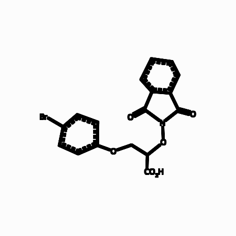 O=C(O)C(COc1ccc(Br)cc1)ON1C(=O)c2ccccc2C1=O